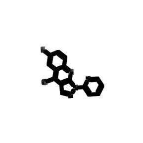 Fc1ccc2nc3c(cnn3-c3ccccn3)c(Cl)c2c1